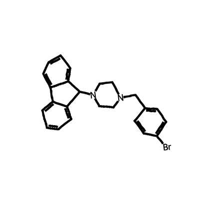 Brc1ccc(CN2CCN(C3c4ccccc4-c4ccccc43)CC2)cc1